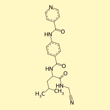 CC(C)CC(NC(=O)c1ccc(NC(=O)c2ccncc2)cc1)C(=O)NCC#N